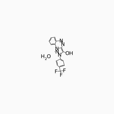 O.OC1=C2N=Nc3ccccc3N2[N]N1c1ccc(C(F)(F)F)cc1